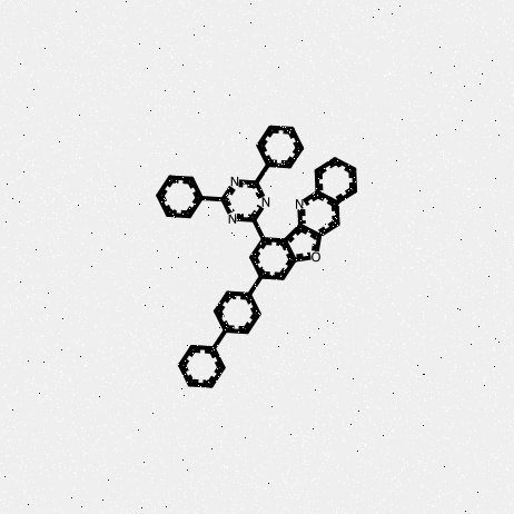 c1ccc(-c2ccc(-c3cc(-c4nc(-c5ccccc5)nc(-c5ccccc5)n4)c4c(c3)oc3cc5ccccc5nc34)cc2)cc1